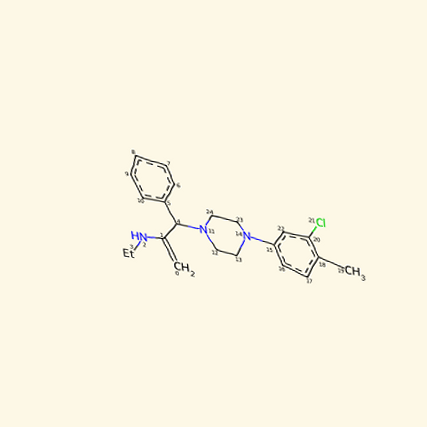 C=C(NCC)C(c1ccccc1)N1CCN(c2ccc(C)c(Cl)c2)CC1